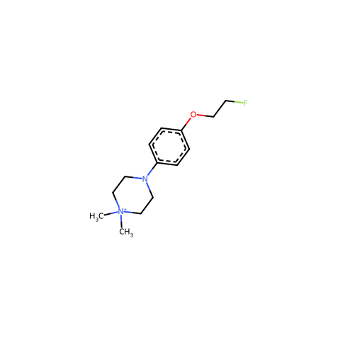 C[N+]1(C)CCN(c2ccc(OCCF)cc2)CC1